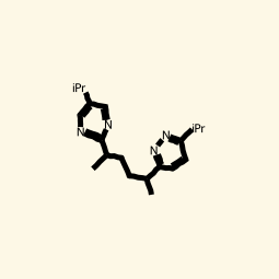 CC(C)c1cnc(C(C)CCC(C)c2ccc(C(C)C)nn2)nc1